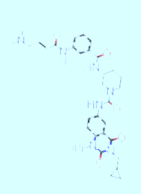 CC(C)n1c(=O)n(CC2CC2)c(=O)c2cc(NC(=O)N3CCC[C@@H](NC(=O)c4cccc(NC(=O)/C=C/CN(C)C)c4)C3)ccc21